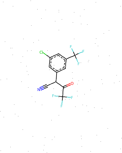 N#CC(C(=O)C(F)(F)F)c1cc(Cl)cc(C(F)(F)F)c1